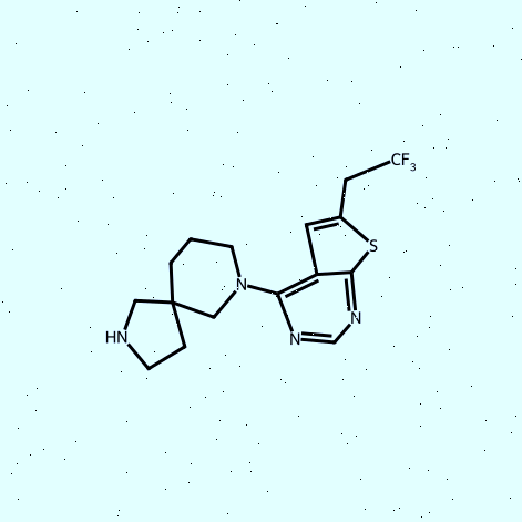 FC(F)(F)Cc1cc2c(N3CCCC4(CCNC4)C3)ncnc2s1